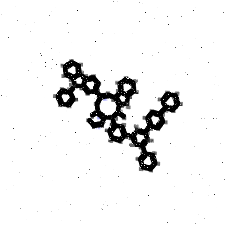 C/C=C\C1=C(/C)C/C(c2ccc3c4ccccc4n(-c4ccccc4)c3c2)=C\c2c(oc3ccccc23)C(C)N1c1cccc(-c2nc(-c3ccccc3)nc(-c3ccc(-c4ccccc4)cc3)n2)c1